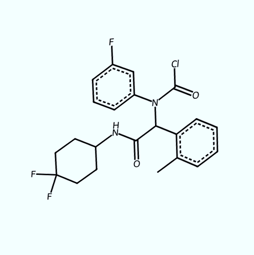 Cc1ccccc1C(C(=O)NC1CCC(F)(F)CC1)N(C(=O)Cl)c1cccc(F)c1